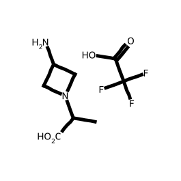 CC(C(=O)O)N1CC(N)C1.O=C(O)C(F)(F)F